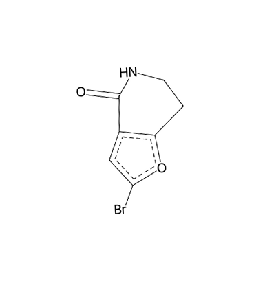 O=C1NCCc2oc(Br)cc21